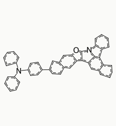 c1ccc(N(c2ccccc2)c2ccc(-c3ccc4cc5c(cc4c3)oc3c5c4cc5ccccc5c5c6ccccc6n3c45)cc2)cc1